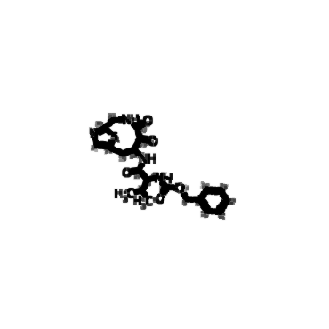 CC(C)C(NC(=O)OCc1ccccc1)C(=O)NC1Cc2cnc(s2)CNC(=O)C1=O